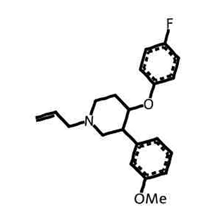 C=CCN1CCC(Oc2ccc(F)cc2)C(c2cccc(OC)c2)C1